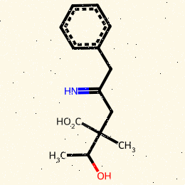 CC(O)C(C)(CC(=N)Cc1ccccc1)C(=O)O